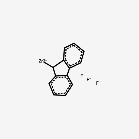 [F-].[F-].[F-].[Zr+3][CH]1c2ccccc2-c2ccccc21